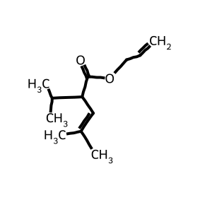 C=CCOC(=O)C(C=C(C)C)C(C)C